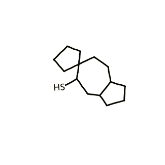 SC1CC2CCCC2CCC12CCCC2